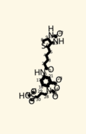 O=C(CCCCC1SCC2NC(=O)NC21)Nc1ccc2c(c1)c(=O)oc(=O)n2CCCS(=O)(=O)O